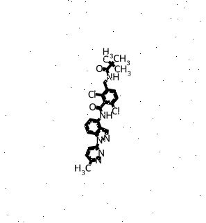 Cc1ccc(-n2ncc3c(NC(=O)c4c(Cl)ccc(CNC(=O)C(C)(C)C)c4Cl)cccc32)nn1